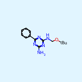 CC(C)(C)OCNc1nc(N)nc(-c2ccccc2)n1